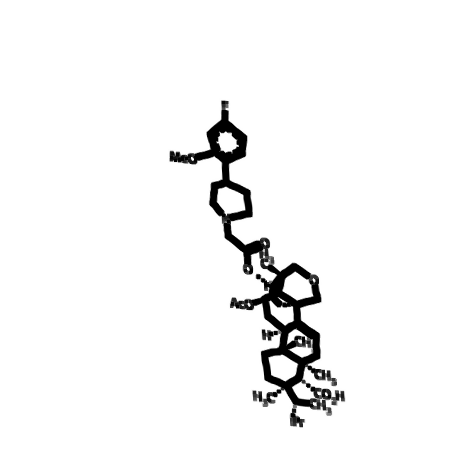 COc1cc(F)ccc1C1CCN(CC(=O)O[C@H]2[C@H](OC(C)=O)C[C@@]34COC[C@]2(C)[C@@H]3CC[C@H]2C4=CC[C@@]3(C)[C@H](C(=O)O)[C@@](C)([C@H](C)C(C)C)CC[C@]23C)CC1